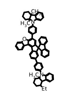 CCC1CCCC2(C)C1c1ccccc1N2c1ccc(-c2ccc3c(c2)C2(c4ccccc4-c4ccccc42)c2cc(-c4ccc(N5c6ccccc6C6(C)CCCCC56C)cc4)c4oc5ccccc5c4c2-3)cc1